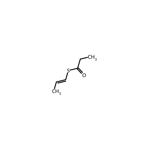 CC=CSC(=O)CC